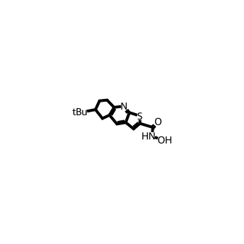 CC(C)(C)C1CCc2nc3sc(C(=O)NO)cc3cc2C1